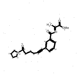 COC(=O)/C(C)=N/C(=O)c1cccc(C#CCCCC(=O)N2CCCC2)c1